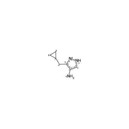 Nc1c[nH]nc1CC1CC1